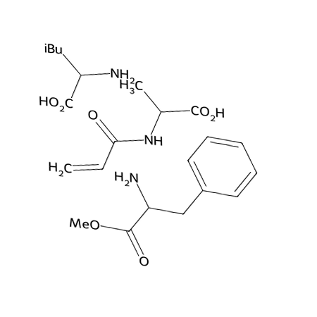 C=CC(=O)NC(C)C(=O)O.CCC(C)C(N)C(=O)O.COC(=O)C(N)Cc1ccccc1